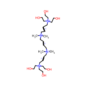 C[N+](C)(C/C=C/C[N+](C)(C)C/C=C/C[N+](CCO)(CCO)CCO)C/C=C/C[N+](CCO)(CCO)CCO